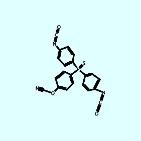 N#COc1ccc(P(=S)(c2ccc(N=C=O)cc2)c2ccc(N=C=O)cc2)cc1